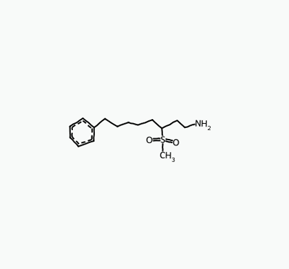 CS(=O)(=O)C(CCN)CCCCCc1ccccc1